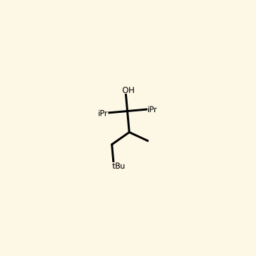 CC(C)C(O)(C(C)C)C(C)CC(C)(C)C